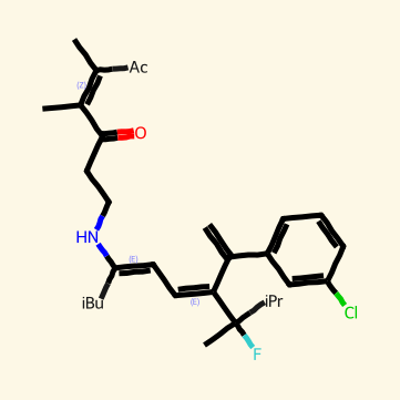 C=C(/C(=C\C=C(\NCCC(=O)/C(C)=C(/C)C(C)=O)C(C)CC)C(C)(F)C(C)C)c1cccc(Cl)c1